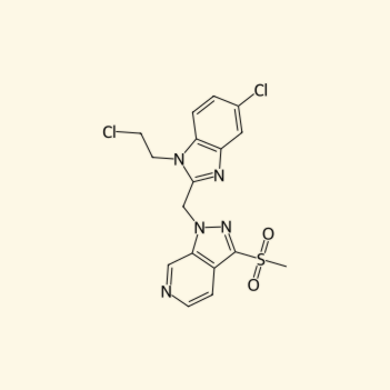 CS(=O)(=O)c1nn(Cc2nc3cc(Cl)ccc3n2CCCl)c2cnccc12